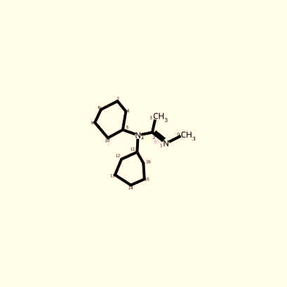 C/N=C(\C)N(C1CCCCC1)C1CCCCC1